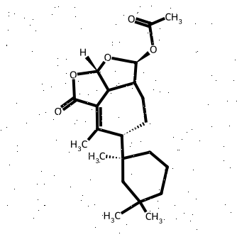 CC(=O)O[C@@H]1O[C@H]2OC(=O)C3=C(C)[C@@H]([C@@]4(C)CCCC(C)(C)C4)CCC1C32